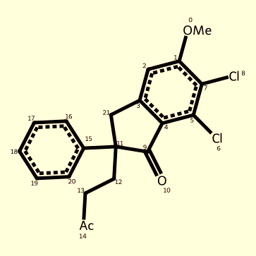 COc1cc2c(c(Cl)c1Cl)C(=O)C(CCC(C)=O)(c1ccccc1)C2